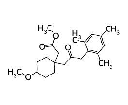 COC(=O)CC1(CC(=O)Cc2c(C)cc(C)cc2C)CCC(OC)CC1